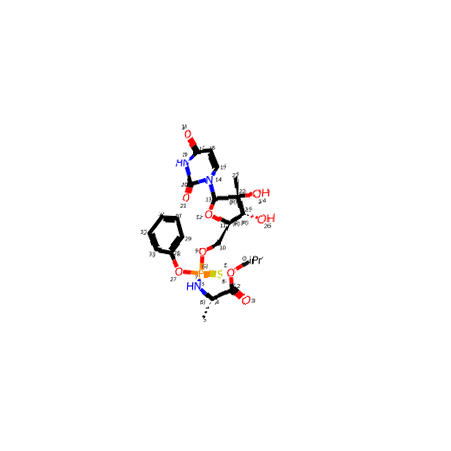 CC(C)OC(=O)[C@H](C)N[P@](=S)(OC[C@H]1OC(n2ccc(=O)[nH]c2=O)[C@](C)(O)[C@@H]1O)Oc1ccccc1